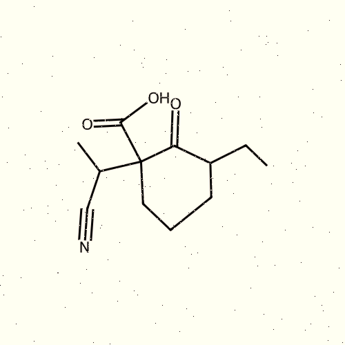 CCC1CCCC(C(=O)O)(C(C)C#N)C1=O